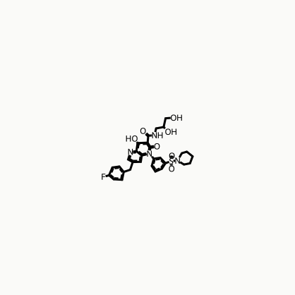 O=C(NCC(O)CO)c1c(O)c2ncc(Cc3ccc(F)cc3)cc2n(-c2cccc(S(=O)(=O)N3CCCCC3)c2)c1=O